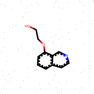 OCCOc1cccc2ccncc12